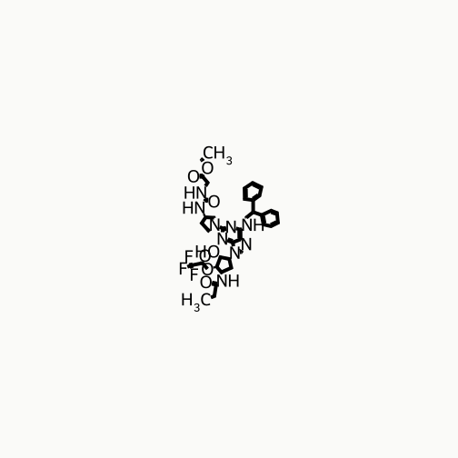 CCOC(=O)CNC(=O)N[C@@H]1CCN(c2nc(NCC(c3ccccc3)c3ccccc3)c3ncn([C@@H]4C[C@H](NC(=O)CC)[C@@H](OC(=O)C(F)(F)F)[C@H]4O)c3n2)C1